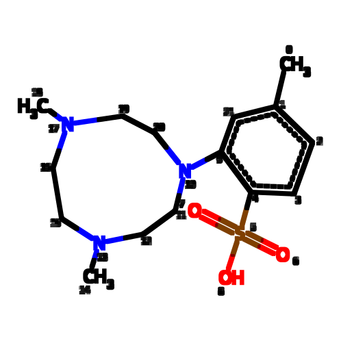 Cc1ccc(S(=O)(=O)O)c(N2CCN(C)CCN(C)CC2)c1